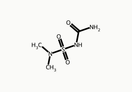 CN(C)S(=O)(=O)NC(N)=O